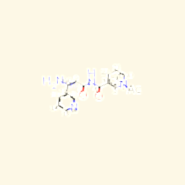 CC(=O)N1CC2(C(=O)NC(=O)/C=C(/N)c3cccnc3)CCC1CC2